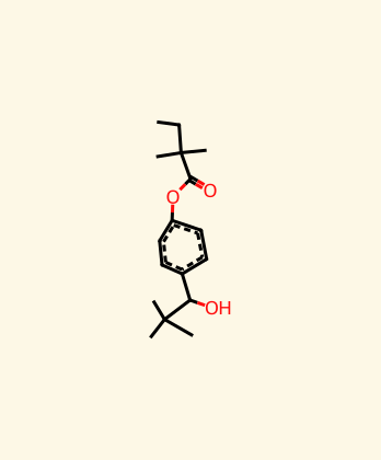 CCC(C)(C)C(=O)Oc1ccc(C(O)C(C)(C)C)cc1